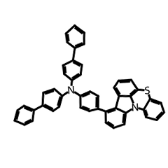 c1ccc(-c2ccc(N(c3ccc(-c4ccccc4)cc3)c3ccc(-c4cccc5c4c4cccc6c4n5-c4ccccc4S6)cc3)cc2)cc1